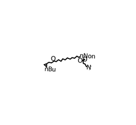 CCCCCCCCCC(CCCCCCCCCCC(=O)CCC1CC1CCCC)OC(=O)CCCN(C)C